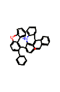 c1ccc(-c2ccc3oc4ccccc4c3c2-c2ccccc2Nc2ccccc2-c2cccc3ccccc23)cc1